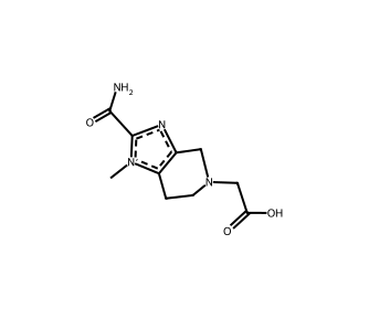 Cn1c(C(N)=O)nc2c1CCN(CC(=O)O)C2